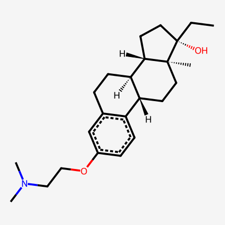 CC[C@]1(O)CC[C@H]2[C@@H]3CCc4cc(OCCN(C)C)ccc4[C@H]3CC[C@@]21C